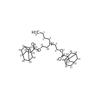 CCCCN(CCOC(=O)C12CC3CC(CC(C3)C1)C2)CCOC(=O)C12CC3CC(CC(C3)C1)C2